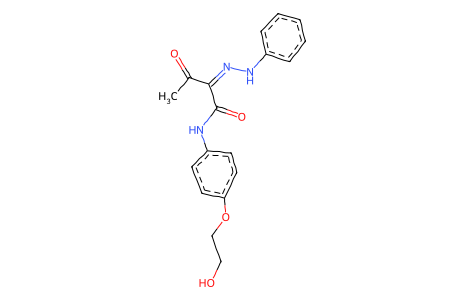 CC(=O)/C(=N/Nc1ccccc1)C(=O)Nc1ccc(OCCO)cc1